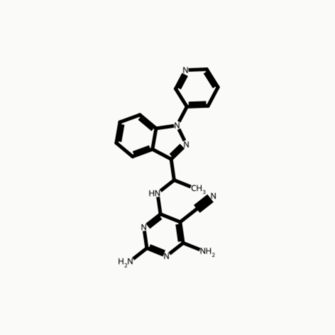 CC(Nc1nc(N)nc(N)c1C#N)c1nn(-c2cccnc2)c2ccccc12